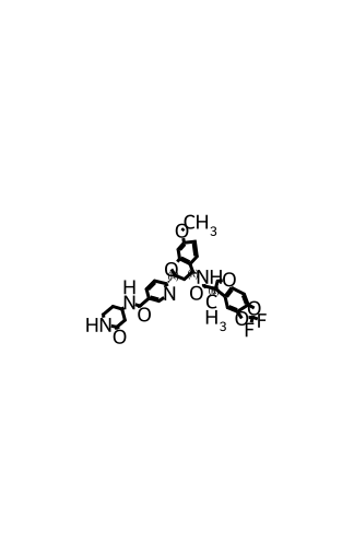 COc1ccc2c(c1)O[C@@H](c1ccc(C(=O)NC3CCNC(=O)C3)cn1)C[C@H]2NC(=O)[C@@]1(C)COc2cc3c(cc21)OC(F)(F)O3